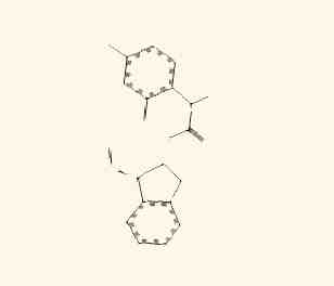 CCO[C@@H]1c2ccccc2C[C@H]1NC(=O)C(C)c1ccc(F)cc1F